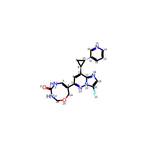 O=C1N/C=C(/c2cc([C@H]3C[C@@H]3c3cccnc3)c3ncc(F)n3n2)COCN1